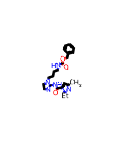 CCn1nc(C)cc1C(=O)NC1=NCCN1CCCCNC(=O)OCc1ccccc1